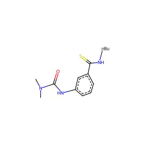 CCCCNC(=S)c1cccc(NC(=O)N(C)C)c1